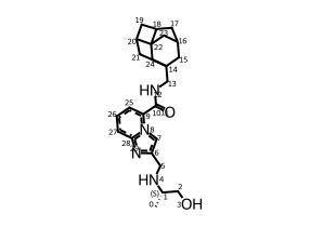 C[C@@H](CO)NCc1cn2c(C(=O)NCC34CC5CC6CC(C3)C6(C5)C4)cccc2n1